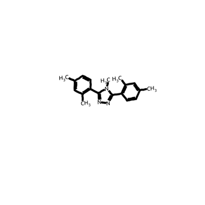 Cc1ccc(-c2nnc(-c3ccc(C)cc3C)n2C)c(C)c1